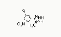 CN1NNN=C1c1cc(C2CC2)cc([N+](=O)[O-])c1